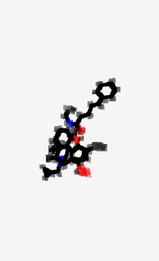 CC(=O)Oc1cc(O)c2c3c1O[C@H]1[C@@H](N(CC(C)C)C(=O)CCCCC4CCCCC4)CC[C@H]4[C@@H](C2)N(CC2CC2)CC[C@@]341